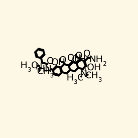 CN(C)C(C(=O)Nc1ccc2c(c1O)C(=O)C1=C(O)C3(O)C(=O)C(C(N)=O)=C(O)[C@@H](N(C)C)C3CC1C2)c1ccccc1